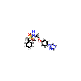 CC(COc1ccc(-n2cncn2)cc1)(NS(=O)(=O)Cc1ccccc1)C(=O)O